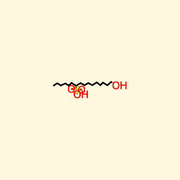 CCCCCCC(CCCCCCCCCO)S(=O)(=O)O